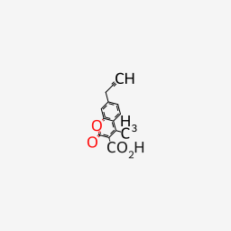 C#CCc1ccc2c(C)c(C(=O)O)c(=O)oc2c1